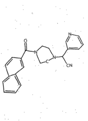 N#CC(c1cccnc1)N1CCN(C(=O)c2ccc3ccccc3c2)CC1